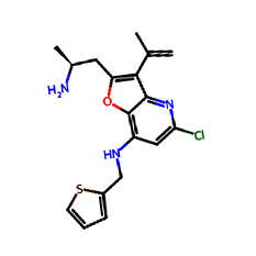 C=C(C)c1c(C[C@H](C)N)oc2c(NCc3cccs3)cc(Cl)nc12